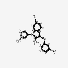 CCn1cc(-n2c(C)c(Sc3cncc(C(C)=O)c3)c3ccc(Cl)cc32)cn1